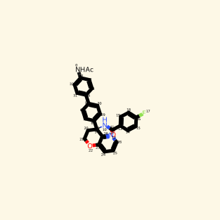 CC(=O)Nc1ccc(-c2ccc([C@]3(NC(=O)c4ccc(F)cc4)CCOc4cccnc43)cc2)cc1